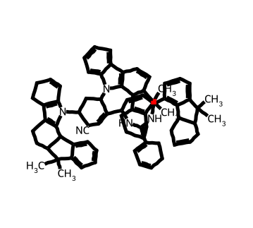 CC1(C)C2=C(CCC=C2)C2c3c(c4ccccc4n3C3CC(n4c5c(c6c4C4c7ccccc7C(C)(C)C4CC6)CCC=C5)C(C#N)C=C3C3C=CC(c4cccc5c4C4CC=CCC4C5(C)C)NC(C4=CC=CCC4)N3)C=CC21